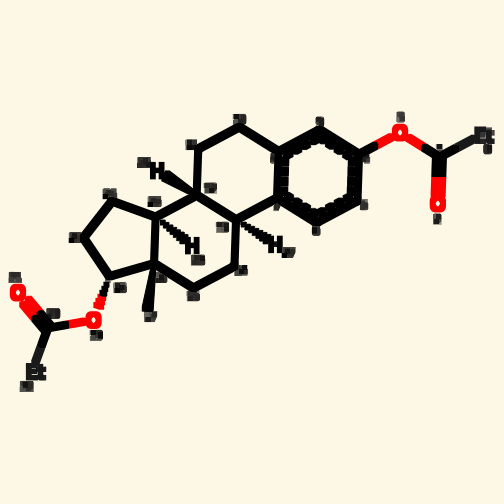 CCC(=O)Oc1ccc2c(c1)CC[C@@H]1[C@@H]2CC[C@]2(C)[C@H](OC(=O)CC)CC[C@@H]12